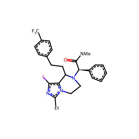 CCc1nc(I)c2n1CCN([C@@H](C(=O)NC)c1ccccc1)C2CCc1ccc(C(F)(F)F)cc1